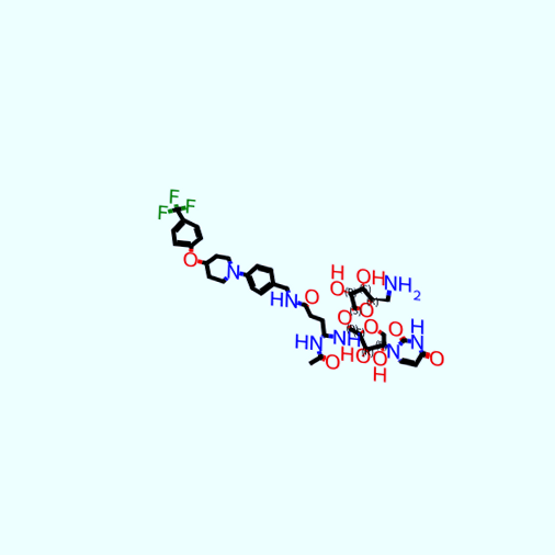 CC(=O)NC(CCC(=O)NCc1ccc(N2CCC(Oc3ccc(C(F)(F)F)cc3)CC2)cc1)N[C@H](O[C@@H]1O[C@H](CN)[C@@H](O)[C@H]1O)[C@H]1OC[C@](O)(n2ccc(=O)[nH]c2=O)[C@@H]1O